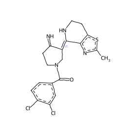 Cc1nc2c(s1)CCN/C2=C1/CN(C(=O)c2ccc(Cl)c(Cl)c2)CCC1=N